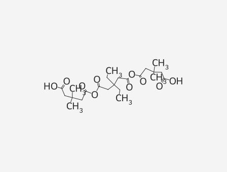 CCC(CC)(CC(=O)OC(=O)CC(C)(C)CC(=O)O)CC(=O)OC(=O)CC(C)(C)CC(=O)O